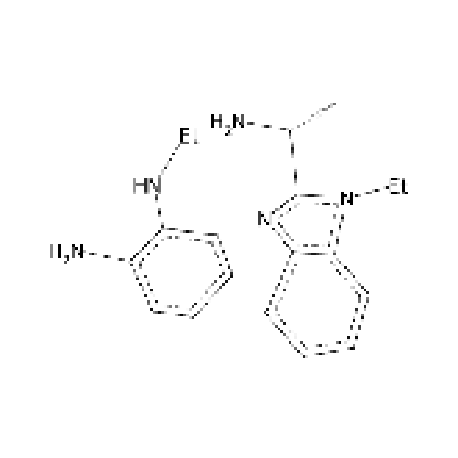 CCNc1ccccc1N.CCn1c([C@@H](C)N)nc2ccccc21